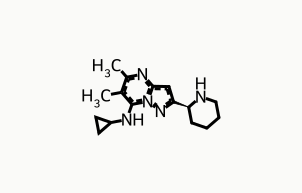 Cc1nc2cc([C@@H]3CCCCN3)nn2c(NC2CC2)c1C